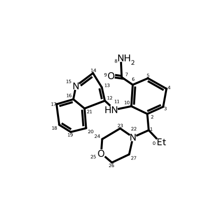 CCC(c1cccc(C(N)=O)c1Nc1ccnc2ccccc12)N1CCOCC1